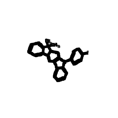 CC1(C)c2ccccc2-c2cc3c4ccccc4n(-c4ccc(I)cc4)c3cc21